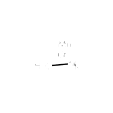 C[SiH3].[Cr].[Mn].[Ni]